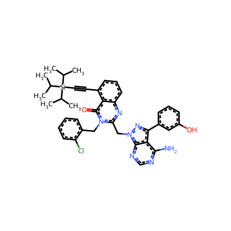 CC(C)[Si](C#Cc1cccc2nc(Cn3nc(-c4cccc(O)c4)c4c(N)ncnc43)n(Cc3ccccc3Cl)c(=O)c12)(C(C)C)C(C)C